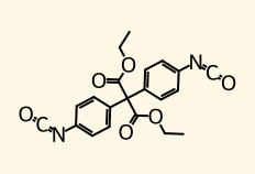 CCOC(=O)C(C(=O)OCC)(c1ccc(N=C=O)cc1)c1ccc(N=C=O)cc1